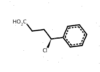 O=C(O)CC[C@H](Cl)c1ccccc1